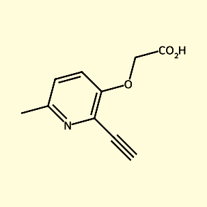 C#Cc1nc(C)ccc1OCC(=O)O